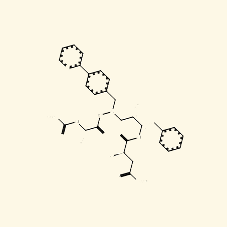 COC(=O)C[C@H](C(=O)N[C@@H](Cc1ccccc1)[C@@H](O)CN(Cc1ccc(-c2ccccn2)cc1)NC(=O)[C@@H](NC(=O)OC)C(C)(C)C)C(C)(C)C